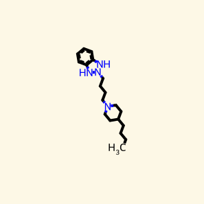 CCCCC1CCN(CCCCN2Nc3ccccc3N2)CC1